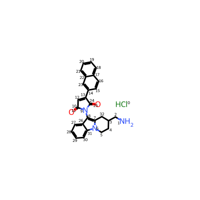 Cl.NCC1CCn2c(c(N3C(=O)C=C(c4ccc5ccccc5c4)C3=O)c3ccccc32)C1